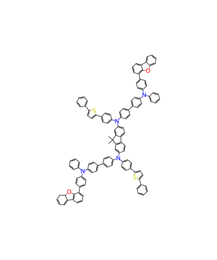 CC1(C)c2cc(N(c3ccc(-c4ccc(N(c5ccccc5)c5ccc(-c6cccc7c6OC6CC=CC=C76)cc5)cc4)cc3)c3ccc(-c4ccc(-c5ccccc5)s4)cc3)ccc2-c2ccc(N(c3ccc(-c4ccc(N(c5ccccc5)c5ccc(-c6cccc7c6oc6ccccc67)cc5)cc4)cc3)c3ccc(-c4ccc(-c5ccccc5)s4)cc3)cc21